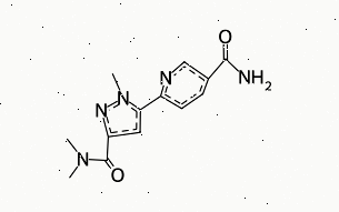 CN(C)C(=O)c1cc(-c2ccc(C(N)=O)cn2)n(C)n1